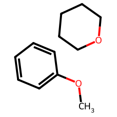 C1CCOCC1.COc1ccccc1